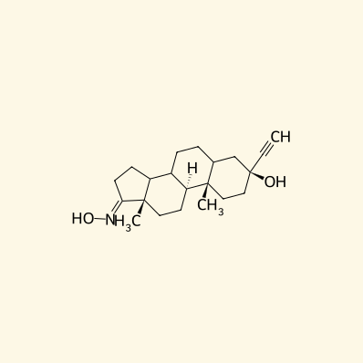 C#C[C@]1(O)CC[C@@]2(C)C(CCC3C4CC/C(=N\O)[C@@]4(C)CC[C@@H]32)C1